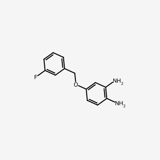 Nc1ccc(OCc2cccc(F)c2)cc1N